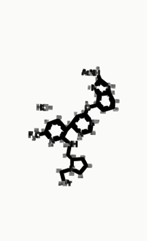 CC(=O)Nc1nc2c(Oc3cc(-c4ccc(C(F)(F)F)nc4NC[C@H]4CCCN4CC(C)C)ncn3)cccc2s1.Cl